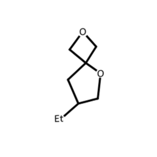 CCC1COC2(COC2)C1